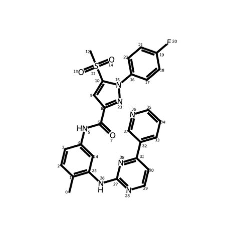 Cc1ccc(NC(=O)c2cc(S(C)(=O)=O)n(-c3ccc(F)cc3)n2)cc1Nc1nccc(-c2cccnc2)n1